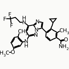 COc1ccc(C)c(Nc2cc(NCCC(F)(F)F)c3ncc(-c4ccc(C(N)=O)c(C)c4C4CC4)n3n2)c1